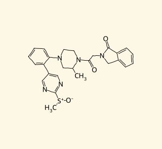 CC1CN(c2ccccc2-c2cnc([S+](C)[O-])nc2)CCN1C(=O)CN1Cc2ccccc2C1=O